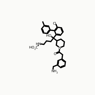 Cc1cccc(-c2c(Cl)cccc2C(O)(CCCNC(=O)O)C2CCCN(C(=O)Cc3cccc(CN)c3)C2)c1